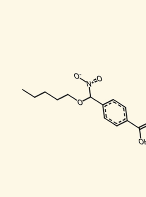 CCCCCOC(c1ccc(C(=O)O)cc1)[N+](=O)[O-]